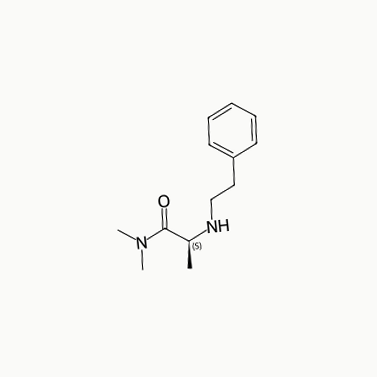 C[C@H](NCCc1ccccc1)C(=O)N(C)C